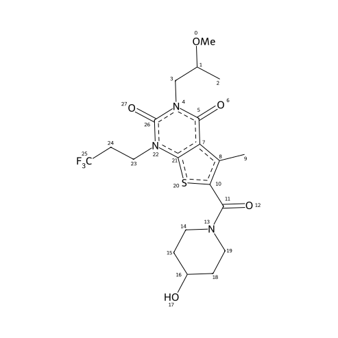 COC(C)Cn1c(=O)c2c(C)c(C(=O)N3CCC(O)CC3)sc2n(CCC(F)(F)F)c1=O